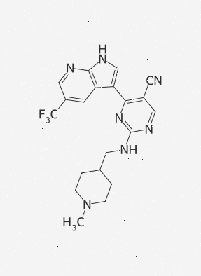 CN1CCC(CNc2ncc(C#N)c(-c3c[nH]c4ncc(C(F)(F)F)cc34)n2)CC1